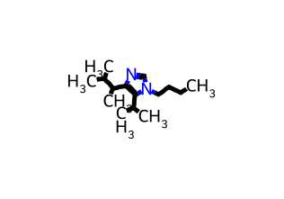 CCCCn1cnc(C(C)C(C)C)c1C(C)C